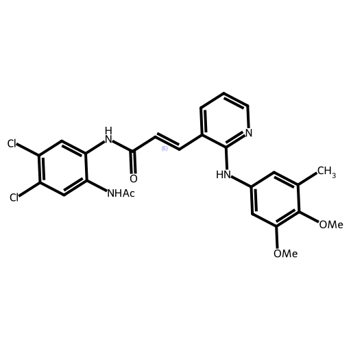 COc1cc(Nc2ncccc2/C=C/C(=O)Nc2cc(Cl)c(Cl)cc2NC(C)=O)cc(C)c1OC